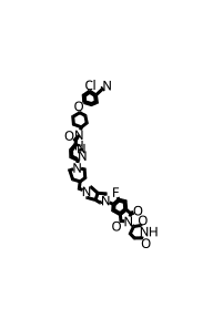 N#Cc1ccc(OC2CCC(NC(=O)c3ccc(N4CCC(CN5CC6CN(c7cc8c(cc7F)C(=O)N(C7CCC(=O)NC7=O)C8=O)CC6C5)CC4)nn3)CC2)cc1Cl